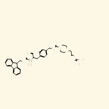 CC(C)(C)OC(=O)CN1CCN(C(=O)NCc2ccc(CC(NC(=O)OCC3c4ccccc4-c4ccccc43)C(=O)O)cc2)CC1